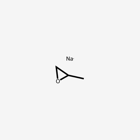 CC1CO1.[Na]